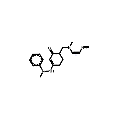 C=N/C=C\N(C)CC1CCC(NN(C)c2ccccc2)=CC1=O